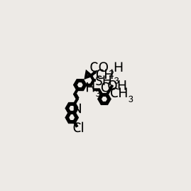 CC(C(=O)O)C1(C(S)[C@H](CCc2ccccc2C(C)(C)O)c2cccc(/C=C/c3ccc4ccc(Cl)cc4n3)c2)CC1